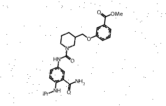 COC(=O)c1cccc(OCC2CCCN(C(=O)Nc3ccc(NC(C)C)c(C(N)=O)c3)C2)c1